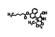 CCCCCC(=O)Oc1ccc([C@@H]2[C@@H](C(C)C)C(=O)N[C@@H]2CO)c2ccccc12